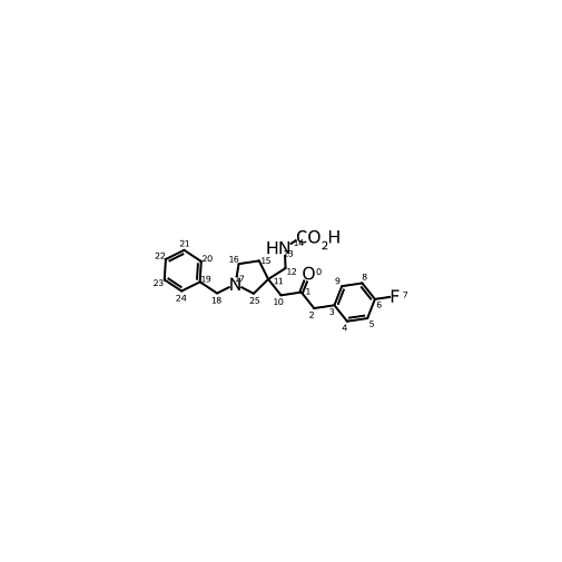 O=C(Cc1ccc(F)cc1)CC1(CNC(=O)O)CCN(Cc2ccccc2)C1